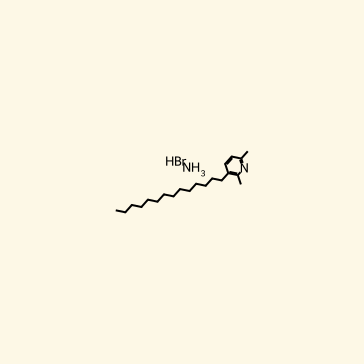 Br.CCCCCCCCCCCCCCc1ccc(C)nc1C.N